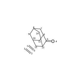 C=C.C=C.O=C1C2CC3CC(C2)CC1C3